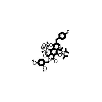 COc1ccc(CN2C(=O)c3c(c(O[Si](C(C)C)(C(C)C)C(C)C)c4ncc(Cc5ccc(F)cc5)cc4c3N(S(C)(=O)=O)S(C)(=O)=O)C2=O)c(OC)c1